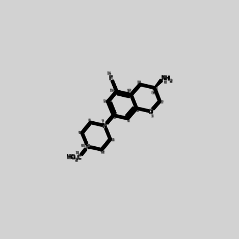 N[C@H]1COc2cc(N3CCN(C(=O)O)CC3)cc(F)c2C1